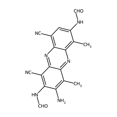 Cc1c(NC=O)cc(C#N)c2nc3c(C#N)c(NC=O)c(N)c(C)c3nc12